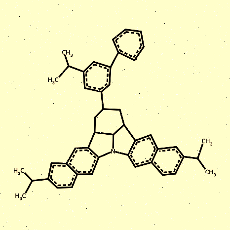 CC(C)c1cc(-c2ccccc2)cc(C2CC3c4cc5cc(C(C)C)ccc5cc4N4c5cc6ccc(C(C)C)cc6cc5C(C2)C34)c1